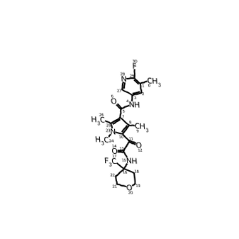 Cc1cc(NC(=O)c2c(C)c(C(=O)C(=O)NC3(C(F)(F)F)CCOCC3)n(C)c2C)cnc1F